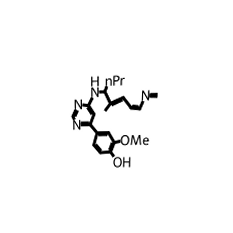 C=N/C=C\C=C(/C)C(CCC)Nc1cc(-c2ccc(O)c(OC)c2)ncn1